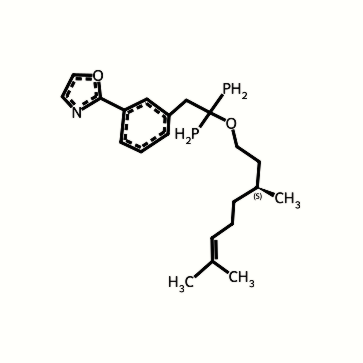 CC(C)=CCC[C@H](C)CCOC(P)(P)Cc1cccc(-c2ncco2)c1